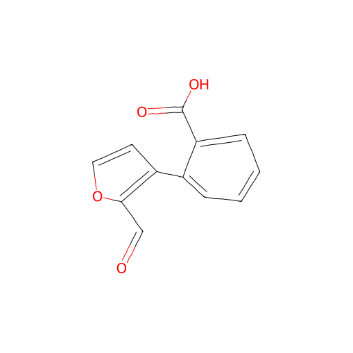 O=Cc1occc1-c1ccccc1C(=O)O